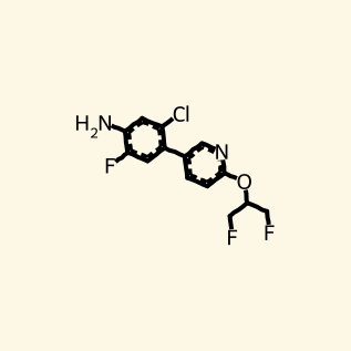 Nc1cc(Cl)c(-c2ccc(OC(CF)CF)nc2)cc1F